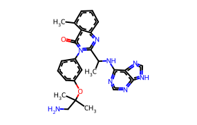 Cc1cccc2nc(C(C)Nc3ncnc4[nH]cnc34)n(-c3cccc(OC(C)(C)CN)c3)c(=O)c12